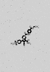 CCOC(=O)c1ccc(NC(=O)N2CCn3c(c(C(N)=O)c(C#N)c3C3CCN(S(C)(=O)=O)CC3)C2)cc1